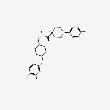 CN(CC1CCC(Nc2ccc([N+](=O)[O-])c(C(F)(F)F)c2)CC1)C(=O)C1(C)CCN(c2ccc(Cl)cc2)CC1